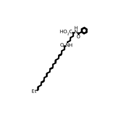 CCC=CCC=CCC=CCC=CCC=CCC=CCCC(=O)NCCCCC(NC(=O)c1ccccc1)C(=O)O